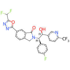 O=C1c2cc(-c3nnc(C(F)F)o3)ccc2CN1[C@H](c1ccc(F)cc1)[C@@H](O)c1ccc(C(F)(F)F)nc1